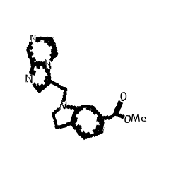 COC(=O)c1ccc2c(c1)N(Cc1cnc3cnccn13)CC2